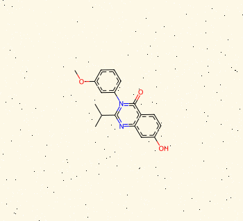 COc1cccc(-n2c(C(C)C)nc3cc(O)ccc3c2=O)c1